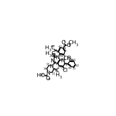 COC(=O)c1cc(C)c(-n2c(=O)nc(N3CCN(C(=O)O)CC3C)c3cc(Cl)c(-c4ccccc4F)nc32)c(C(C)C)c1